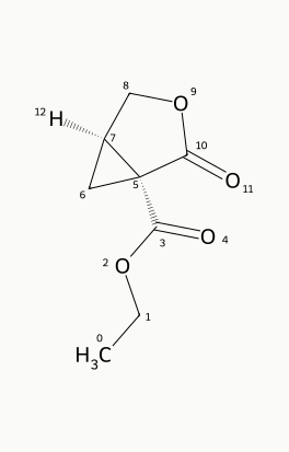 CCOC(=O)[C@]12C[C@H]1COC2=O